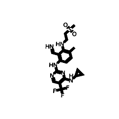 Cc1ccc(Nc2ncc(C(F)(F)F)c(NC3CC3)n2)c(C=N)c1NCCS(C)(=O)=O